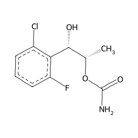 C[C@H](OC(N)=O)[C@@H](O)c1c(F)cccc1Cl